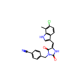 Cc1c(Cl)ccc2c(C=C3NC(=O)N(Cc4ccc(C#N)cc4)C3=O)c[nH]c12